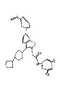 COc1cccc(-c2ccc3c(c2)CCN(CC(=O)Nc2cc(Cl)cc(Cl)c2)C3C2CCN(C3CCCC3)CC2)c1